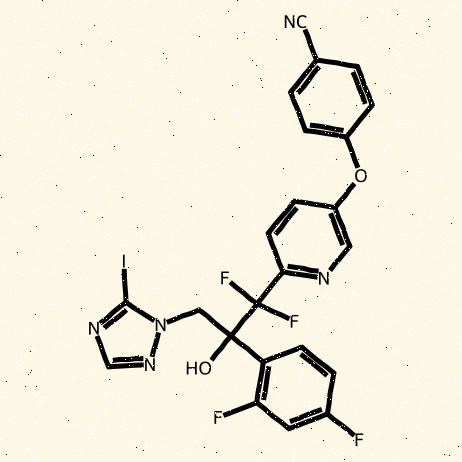 N#Cc1ccc(Oc2ccc(C(F)(F)C(O)(Cn3ncnc3I)c3ccc(F)cc3F)nc2)cc1